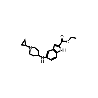 CCOC(=O)c1cc2cc(NC3CCN(C4CC4)CC3)ccc2[nH]1